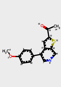 COc1ccc(-c2cncc3sc(C(C)=O)cc23)cc1